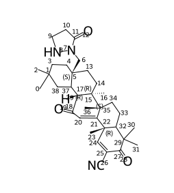 CC1(C)CC[C@]2(CN3NCCC3=O)CC[C@]3(C)[C@H](C(=O)C=C4[C@@]5(C)C=C(C#N)C(=O)C(C)(C)C5CC[C@]43C)C2C1